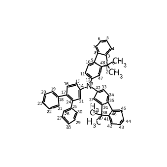 CC1(C)c2ccccc2-c2ccc(N(c3ccc(-c4ccccc4)c(-c4ccccc4)c3)c3ccc4c(c3)C(C)(C)c3ccccc3-4)cc21